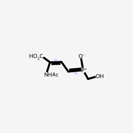 CC(=O)N/C(=C\C=[P+](/[O-])CO)C(=O)O